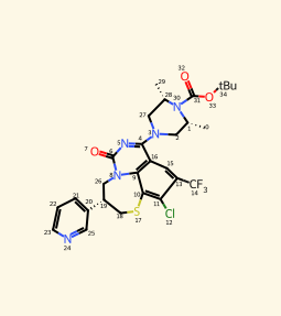 C[C@@H]1CN(c2nc(=O)n3c4c(c(Cl)c(C(F)(F)F)cc24)SC[C@H](c2cccnc2)C3)C[C@H](C)N1C(=O)OC(C)(C)C